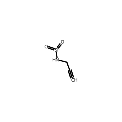 C#CCN[SH](=O)=O